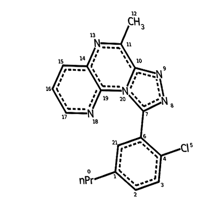 CCCc1ccc(Cl)c(-c2nnc3c(C)nc4cccnc4n23)c1